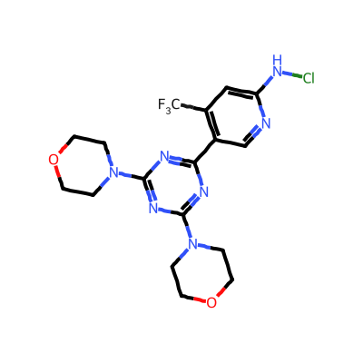 FC(F)(F)c1cc(NCl)ncc1-c1nc(N2CCOCC2)nc(N2CCOCC2)n1